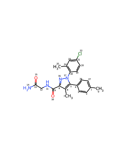 Cc1ccc(-c2c(C)c(C(=O)NCC(N)=O)nn2-c2ccc(Cl)cc2C)cc1